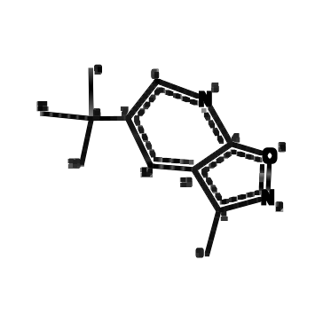 Cc1noc2ncc(C(C)(C)C)cc12